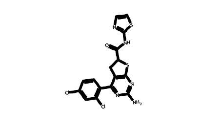 Nc1nc2c(c(-c3ccc(Cl)cc3Cl)n1)CC(C(=O)Nc1nccs1)S2